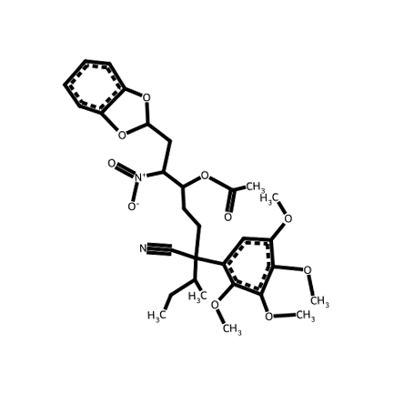 CCC(C)C(C#N)(CCC(OC(C)=O)C(CC1Oc2ccccc2O1)[N+](=O)[O-])c1cc(OC)c(OC)c(OC)c1OC